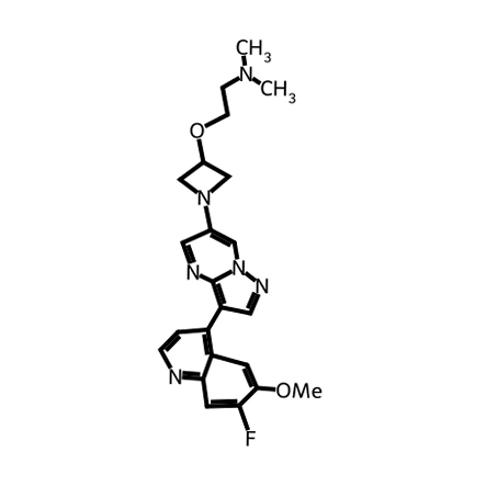 COc1cc2c(-c3cnn4cc(N5CC(OCCN(C)C)C5)cnc34)ccnc2cc1F